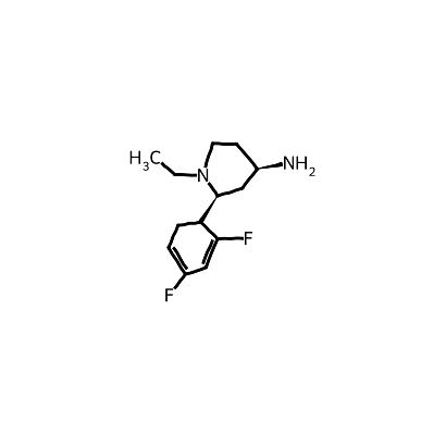 CCN1CC[C@@H](N)C[C@H]1C1CC=C(F)C=C1F